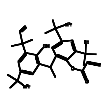 C=CC(=O)Oc1c(C(C)c2cc(C(C)(C)CCC)cc(C(C)(C)C=C)c2O)cc(C(C)(C)CCC)cc1C(C)(C)CC